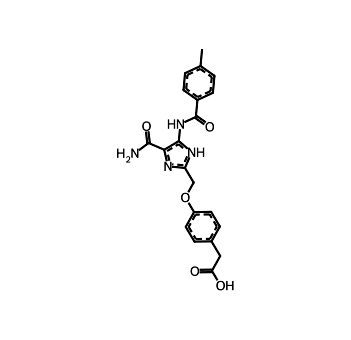 Cc1ccc(C(=O)Nc2[nH]c(COc3ccc(CC(=O)O)cc3)nc2C(N)=O)cc1